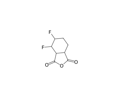 O=C1OC(=O)C2C1CCC(F)C2F